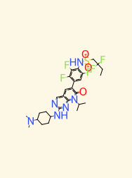 CCC(F)(F)CS(=O)(=O)Nc1c(F)cc(-c2cc3cnc(NC4CCC(N(C)C)CC4)nc3n(C(C)C)c2=O)c(F)c1F